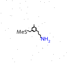 CSCCc1cc(C)cc(CCCCN)c1